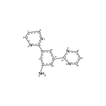 Nc1cc(-c2ncccn2)cc(-c2ncccn2)c1